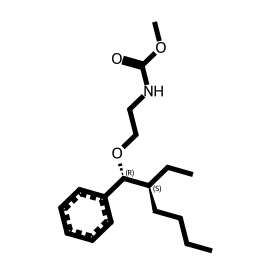 CCCC[C@H](CC)[C@@H](OCCNC(=O)OC)c1ccccc1